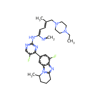 C=N/C(=C\C=C(/C)CN1CCN(CC)CC1)Nc1ncc(F)c(-c2cc(F)c3nc4n(c3c2)C(C)CCC4)n1